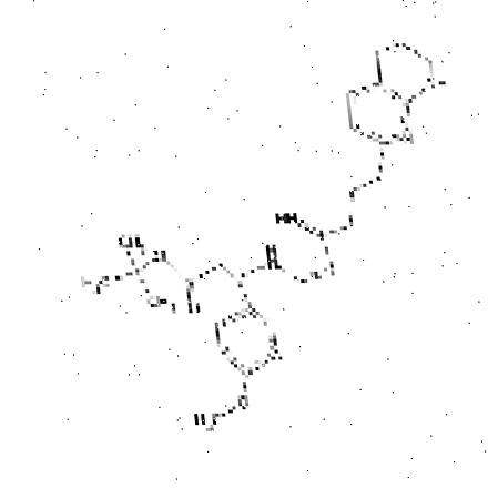 COc1ccc(C(CC(=O)OC(C)(C)C)N/C=C\C(=N)CCCc2ccc3c(n2)NCCC3)cn1